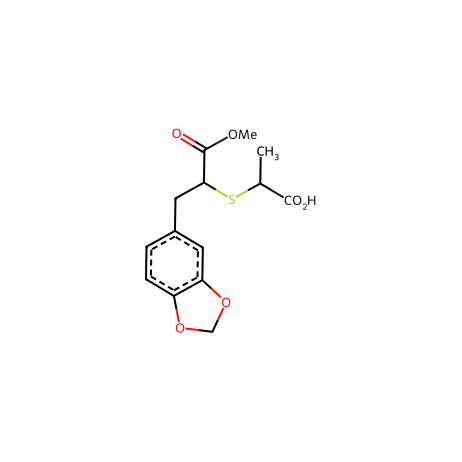 COC(=O)C(Cc1ccc2c(c1)OCO2)SC(C)C(=O)O